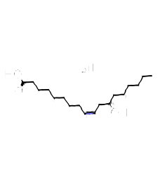 CCCCCC[C@@H](O)C/C=C\CCCCCCCC(=O)O.[SrH2]